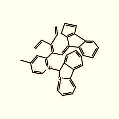 C=CC(C=C)=C(/C=C1\C2=C(C=CC2)c2ccccc21)c1cc(C)cc[n+]1C1c2ccccc2-c2cccc[n+]21